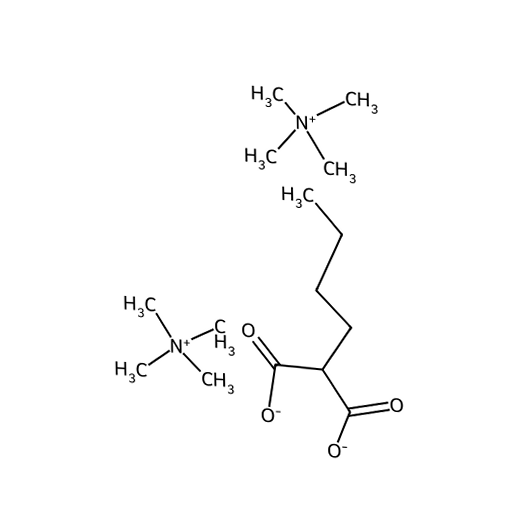 CCCCC(C(=O)[O-])C(=O)[O-].C[N+](C)(C)C.C[N+](C)(C)C